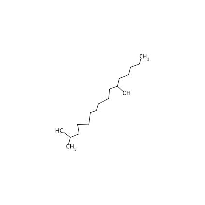 CCCCCC(O)CCCCCCCCC(C)O